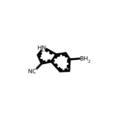 Bc1ccc2c(C#N)c[nH]c2c1